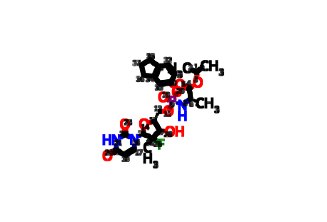 CC(C)OC(=O)[C@H](C)N[P@](=O)(OC[C@H]1O[C@@H](n2ccc(=O)[nH]c2=O)[C@](C)(F)[C@@H]1O)Oc1ccc2c(c1)CCC2